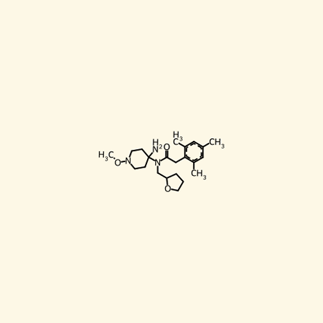 CON1CCC(N)(N(CC2CCCO2)C(=O)Cc2c(C)cc(C)cc2C)CC1